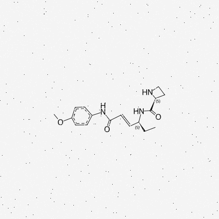 CC[C@@H](C=CC(=O)Nc1ccc(OC)cc1)NC(=O)[C@@H]1CCN1